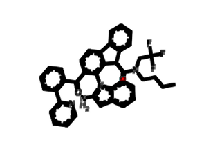 CCCCN(CC(F)(F)F)C(=O)C1c2ccccc2-c2ccc(C(=O)c3ccccc3-c3ccccn3)c(-n3c(N)cc4ccccc43)c21